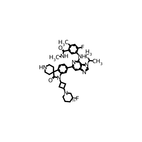 CNC(=O)c1cc(Nc2nc(-c3ccc4c(c3)N(C3CC(N5CCC[C@H](F)C5)C3)C(=O)C43CCNCC3)cc3ncn(C(C)C)c23)c(F)cc1C